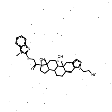 [C-]#[N+]CCn1ncc2c1C=C1CCC3C([C@@H](O)CC4(C)C3CC[C@]4(O)C(=O)CSc3nc4ccccc4n3C)C1(C)C2